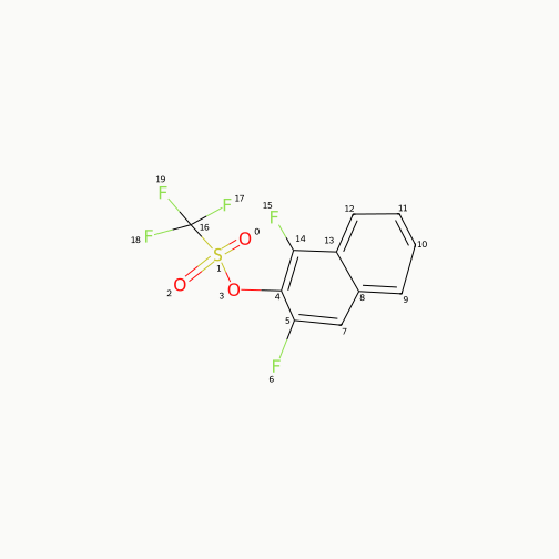 O=S(=O)(Oc1c(F)cc2ccccc2c1F)C(F)(F)F